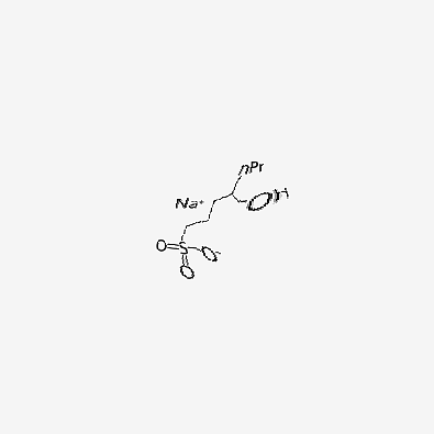 CCCC(O)CCCS(=O)(=O)[O-].[Na+]